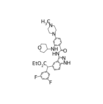 CCOC(=O)C(c1cc(F)cc(F)c1)c1ccc2[nH]nc(NC(=O)c3ccc(N4CCN(C)CC4)cc3NC3CCOCC3)c2c1